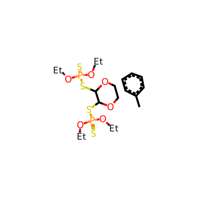 CCOP(=S)(OCC)SC1OCCOC1SP(=S)(OCC)OCC.Cc1ccccc1